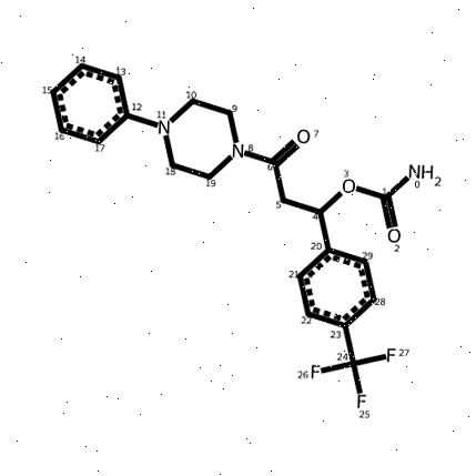 NC(=O)OC(CC(=O)N1CCN(c2ccccc2)CC1)c1ccc(C(F)(F)F)cc1